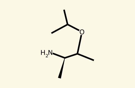 CC(C)OC(C)[C@@H](C)N